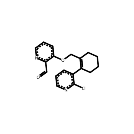 O=Cc1ncccc1OCC1=C(c2cccnc2Cl)CCCC1